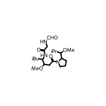 CCC(C)C(NC(=O)CNC=O)C(CC(=O)N1CCCC1C(OC)C(C)C)OC